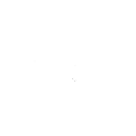 CC(CCl)c1ccccn1